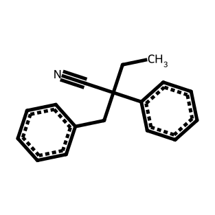 CCC(C#N)(Cc1ccccc1)c1ccccc1